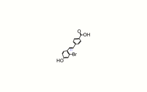 O=C(O)c1ccc(/C=C/c2ccc(O)cc2Br)cc1